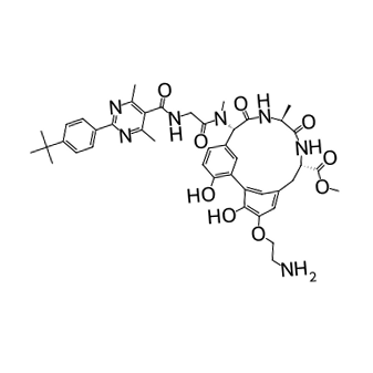 COC(=O)[C@@H]1Cc2cc(OCCN)c(O)c(c2)-c2cc(ccc2O)[C@H](N(C)C(=O)CNC(=O)c2c(C)nc(-c3ccc(C(C)(C)C)cc3)nc2C)C(=O)N[C@@H](C)C(=O)N1